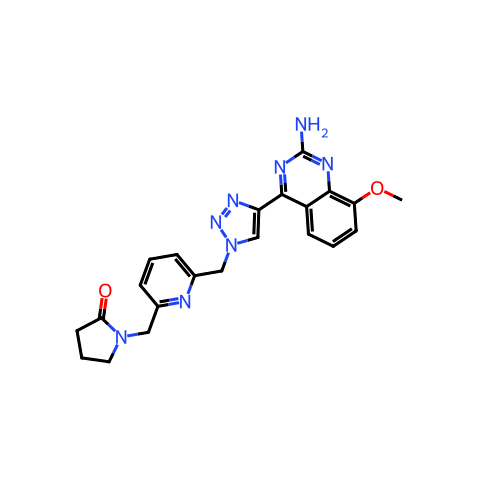 COc1cccc2c(-c3cn(Cc4cccc(CN5CCCC5=O)n4)nn3)nc(N)nc12